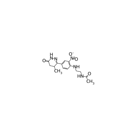 CC(=O)NCCNc1ccc(C2=NNC(=O)CC2C)cc1[N+](=O)[O-]